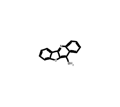 Bc1c2ccccc2nc2c1sc1ccccc12